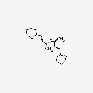 C=C(C=CC1CCCCO1)SC(=C)C=CC1CCCCO1